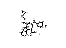 NC(=O)C1CN(C(=O)c2ccc(F)cc2)C=C(C(=O)OCC2CC2)c2[nH]c3ccccc3c21